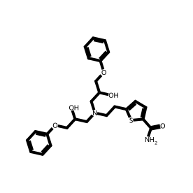 NC(=O)c1ccc(CCN(CC(O)COc2ccccc2)CC(O)COc2ccccc2)s1